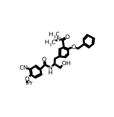 [C-]#[N+]c1cc(C(=O)NC(CO)Cc2ccc(OCc3ccccc3)c(C(=O)N(C)C)c2)ccc1OC(C)C